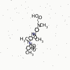 COc1cc(/N=N/c2ccc(C)cc2[N+](=O)[O-])c(C)cc1/N=N/c1ccc(N(C)CCCC(=O)O)cc1